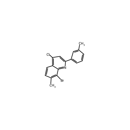 Cc1cccc(-c2cc(Cl)c3ccc(C)c(Br)c3n2)c1